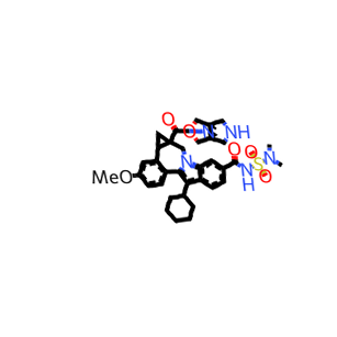 COc1ccc2c(c1)C1CC1(C(=O)N1CC34CNCC3(COC4)C1)Cn1c-2c(C2CCCCC2)c2ccc(C(=O)NS(=O)(=O)N(C)C)cc21